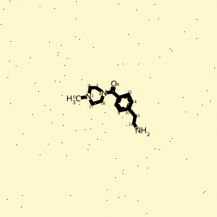 CN1CCN(C(=O)c2ccc(CCN)cc2)CC1